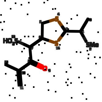 [CH2]C(SC)C1SCC(C(C(=O)C(=C)C)S(=O)(=O)O)S1